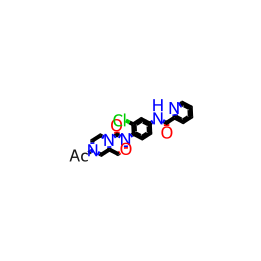 CC(=O)N1CCN2C(=O)N(c3ccc(NC(=O)c4ccccn4)cc3Cl)OCC2C1